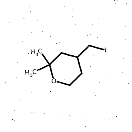 CC1(C)CC(CI)CCO1